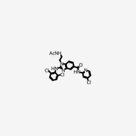 CC(=O)NCCn1c(Nc2c(Cl)cccc2Cl)nc2cc(C(=O)Nc3cc(Cl)ccn3)ccc21